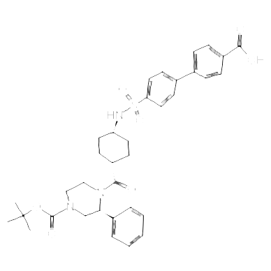 CC(C)(C)OC(=O)N1CCN(C(=O)[C@H]2CC[C@H](NS(=O)(=O)c3ccc(-c4ccc(C(=O)O)cc4)cc3)CC2)[C@@H](c2ccccc2)C1